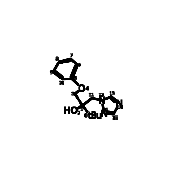 CC(C)(C)C(O)(COc1ccccc1)Cn1cncn1